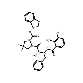 Cc1c(O)cccc1C(=O)N[C@@H](Cc1ccccc1)[C@H](O)C(=O)N1CC(F)(F)C[C@H]1C(=O)N[C@H]1CCc2ccccc21